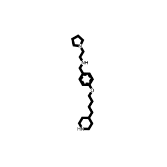 c1cc(OCCCCC2CCNCC2)ccc1CNCCN1CCCC1